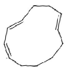 [C]1=C\C=C\CC/C=C/CCCC/1